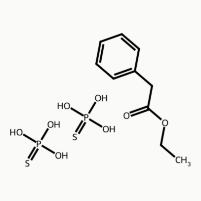 CCOC(=O)Cc1ccccc1.OP(O)(O)=S.OP(O)(O)=S